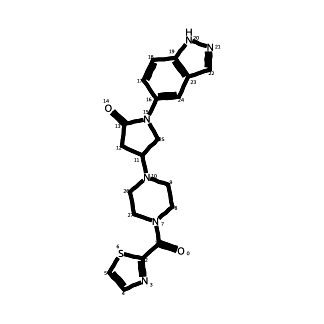 O=C(c1nccs1)N1CCN(C2CC(=O)N(c3ccc4[nH]ncc4c3)C2)CC1